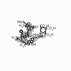 CCOCC(NC(=O)CN1CCN(CC(=O)O)CCN(CC(=O)O)CCN(CC(=O)O)CC1)OCC(=O)N[C@H]1CC[C@]2(C)C3C[C@H](O)[C@@]4(C)C(CC[C@@H]4[C@H](C)CCCN[C@@H](CCC(N)=O)C(=O)N[C@@H](Cc4c[nH]c5ccccc45)C(=O)N[C@@H](C)C(=O)N[C@@H](C)C(=O)NCC(=O)N[C@@H](Cc4c[nH]cn4)C(=O)N[C@@H](CC(C)C)C(=O)N[C@@H](CCSC)C(N)=O)C3[C@H](O)C[C@@H]2C1